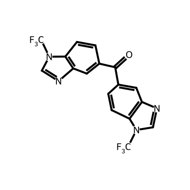 O=C(c1ccc2c(c1)ncn2C(F)(F)F)c1ccc2c(c1)ncn2C(F)(F)F